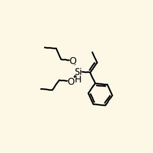 CC=C(c1ccccc1)[SiH](OCCC)OCCC